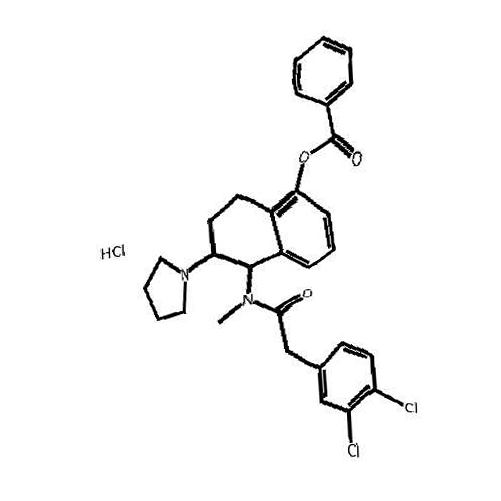 CN(C(=O)Cc1ccc(Cl)c(Cl)c1)C1c2cccc(OC(=O)c3ccccc3)c2CCC1N1CCCC1.Cl